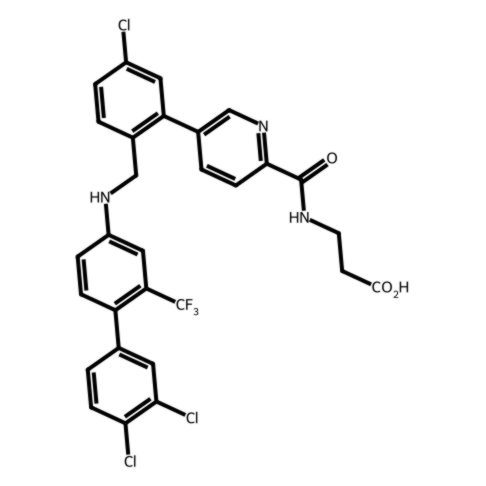 O=C(O)CCNC(=O)c1ccc(-c2cc(Cl)ccc2CNc2ccc(-c3ccc(Cl)c(Cl)c3)c(C(F)(F)F)c2)cn1